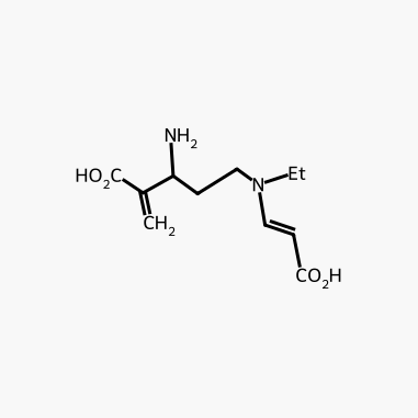 C=C(C(=O)O)C(N)CCN(C=CC(=O)O)CC